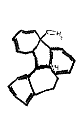 CC1(c2ccccc2)C=CC=CC1C1NCCc2ccccc21